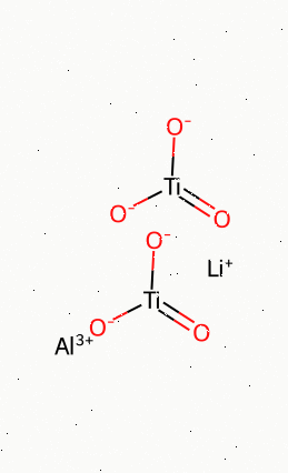 [Al+3].[Li+].[O]=[Ti]([O-])[O-].[O]=[Ti]([O-])[O-]